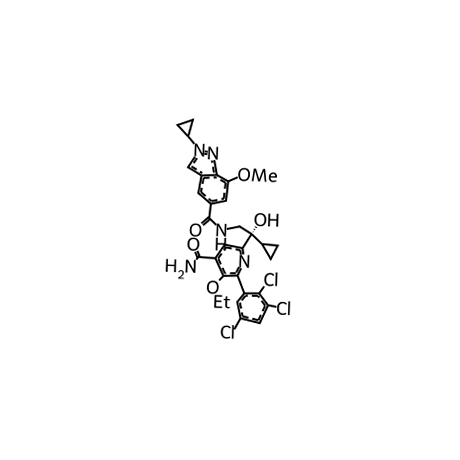 CCOc1c(C(N)=O)cc([C@@](O)(CNC(=O)c2cc(OC)c3nn(C4CC4)cc3c2)C2CC2)nc1-c1cc(Cl)cc(Cl)c1Cl